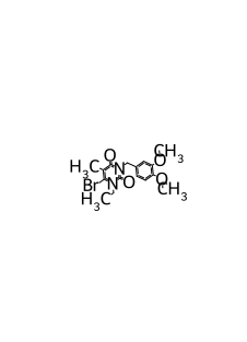 CCn1c(Br)c(C)c(=O)n(Cc2ccc(OC)c(OC)c2)c1=O